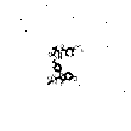 Cc1nc(-c2c(Cl)c3cc(Cl)ccc3n2-c2ccc(CNC(=O)C3(NC(=O)c4cncc(C(F)(F)F)c4)CC3)cc2)no1